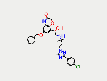 Cc1nc(-c2ccc(Cl)cc2)nn1CCC(C)(C)NCC(O)c1cc(OCc2ccccc2)cc2c1OCC(=O)N2